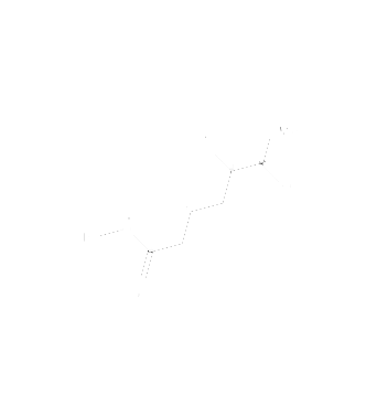 COC(=O)C(O)CCCC(=O)OC(C)(C)C